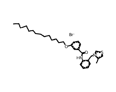 CCCCCCCCCCCCCCOc1cccc(C(=O)Nc2ccccc2C[n+]2cscc2C)c1.[Br-]